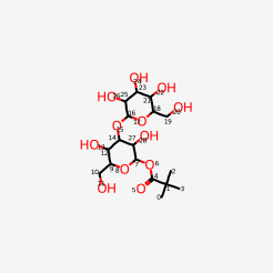 CC(C)(C)C(=O)OC1OC(CO)C(O)C(OC2OC(CO)C(O)C(O)C2O)C1O